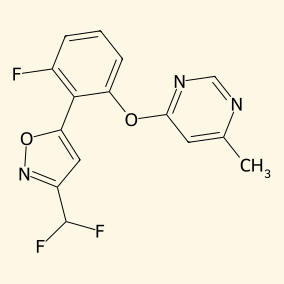 Cc1cc(Oc2cccc(F)c2-c2cc(C(F)F)no2)ncn1